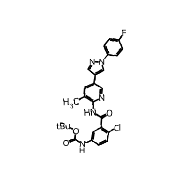 Cc1cc(-c2cnn(-c3ccc(F)cc3)c2)cnc1NC(=O)c1cc(NC(=O)OC(C)(C)C)ccc1Cl